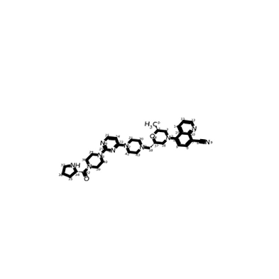 C[C@@H]1CN(c2ccc(C#N)c3ncccc23)C[C@H](CN2CCN(c3ccnc(N4CCN(C(=O)[C@@H]5CCCN5)CC4)n3)CC2)O1